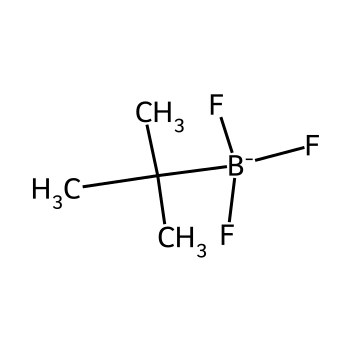 CC(C)(C)[B-](F)(F)F